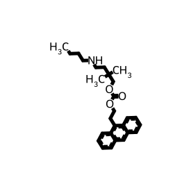 CCCCNCCC(C)(C)COC(=O)OCCc1c2ccccc2cc2ccccc12